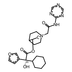 O=C(C[N+]12CCC(CC1)C(OC(=O)[C@](O)(c1ccoc1)C1CCCCC1)C2)Nc1ncncn1